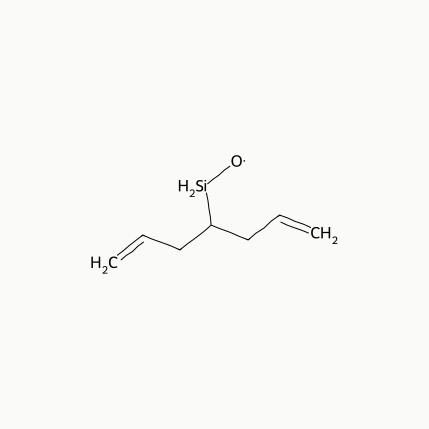 C=CCC(CC=C)[SiH2][O]